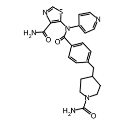 NC(=O)c1ncsc1N(C(=O)c1ccc(CC2CCN(C(N)=O)CC2)cc1)c1ccncc1